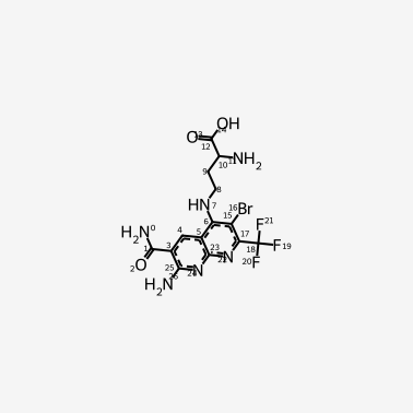 NC(=O)c1cc2c(NCCC(N)C(=O)O)c(Br)c(C(F)(F)F)nc2nc1N